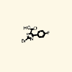 O=C(O)c1sc(Br)nc1-c1ccc(F)cc1